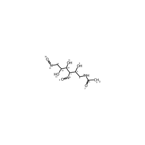 CC(=O)NCC(O)C(N=O)C(O)C(O)CN=O